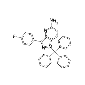 Nc1ccc2c(n1)c(-c1ccc(F)cc1)nn2C(c1ccccc1)(c1ccccc1)c1ccccc1